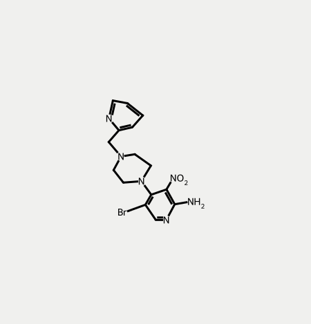 Nc1ncc(Br)c(N2CCN(Cc3ccccn3)CC2)c1[N+](=O)[O-]